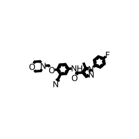 Cc1c(C(=O)Nc2ccc(OCN3CCOCC3)c(C#N)c2)cnn1-c1ccc(F)cc1